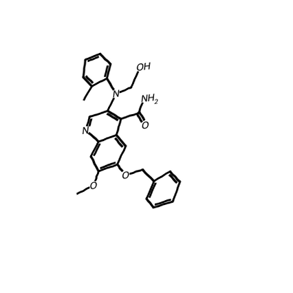 COc1cc2ncc(N(CO)c3ccccc3C)c(C(N)=O)c2cc1OCc1ccccc1